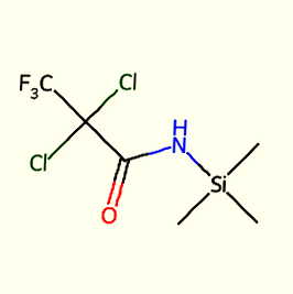 C[Si](C)(C)NC(=O)C(Cl)(Cl)C(F)(F)F